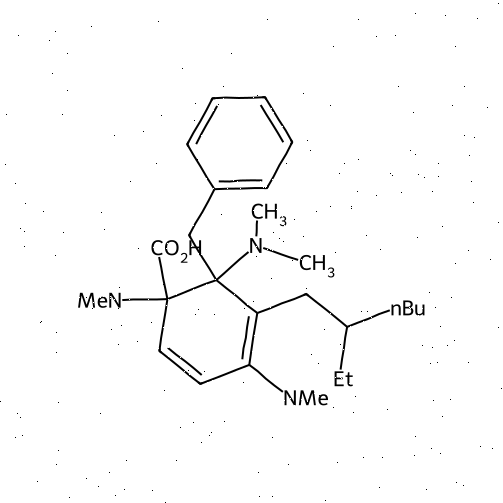 CCCCC(CC)CC1=C(NC)C=CC(NC)(C(=O)O)C1(Cc1ccccc1)N(C)C